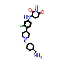 NC[C@H]1CC[C@H](CN2CCC(c3ccc(NC4CCC(=O)NC4=O)cc3F)CC2)CC1